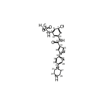 CS(=O)(=O)Nc1cc(Cl)cc(NC(=O)c2cnn(-c3ccc(N4CCNCC4)cn3)c2)c1